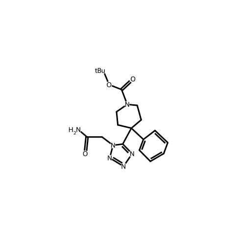 CC(C)(C)OC(=O)N1CCC(c2ccccc2)(c2nnnn2CC(N)=O)CC1